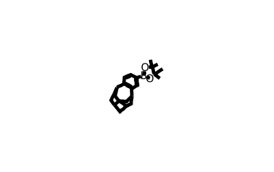 CC1(C)OB(c2ccc3c(c2)C2CC4CC5CC3CC54C2)OC1(C)C